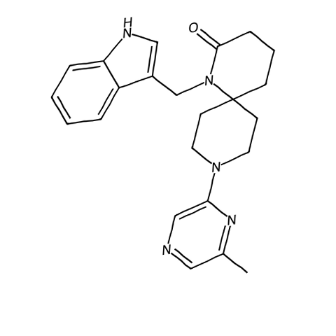 Cc1cncc(N2CCC3(CCCC(=O)N3Cc3c[nH]c4ccccc34)CC2)n1